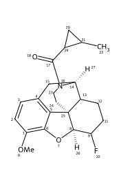 COc1ccc2c3c1O[C@@H]1C(F)CCC4[C@H](C2)N(C(=O)C2CC2C)CC[C@]341